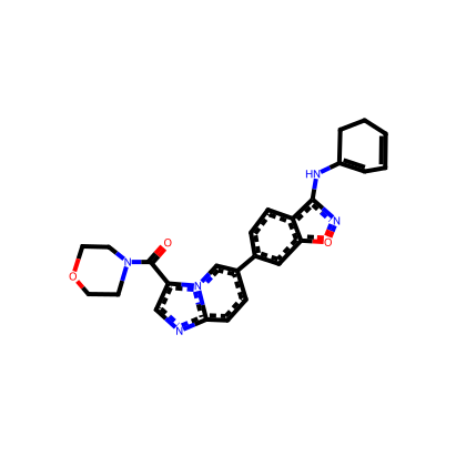 O=C(c1cnc2ccc(-c3ccc4c(NC5=CC=CCC5)noc4c3)cn12)N1CCOCC1